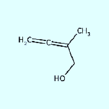 C=C=C(C)CO